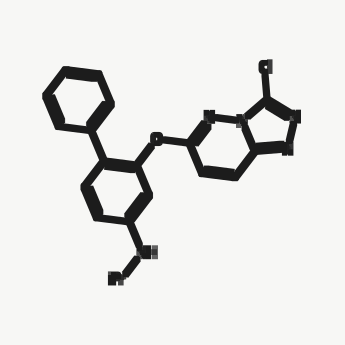 CC(C)Nc1ccc(-c2ccccc2)c(Oc2ccc3nnc(Cl)n3n2)c1